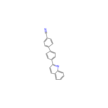 N#Cc1ccc(-c2ccc(-c3ccc4c[c]ccc4n3)cc2)cc1